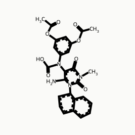 CC(=O)Oc1cc(OC(C)=O)cc(N(C(=O)O)c2c(N)n(-c3cccc4ccccc34)c(=O)n(C)c2=O)c1